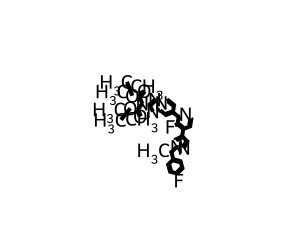 C[C@H](c1ccc(F)cc1)n1cc(-c2ccnc(-c3ccn4nc(N(C(=O)OC(C)(C)C)C(=O)OC(C)(C)C)nc4c3)c2F)cn1